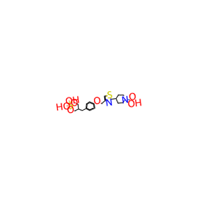 O=C(O)N1CCC(c2nc(COc3ccc(CC4COS(O)(O)OC4)cc3)cs2)CC1